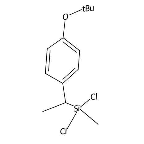 CC(c1ccc(OC(C)(C)C)cc1)[Si](C)(Cl)Cl